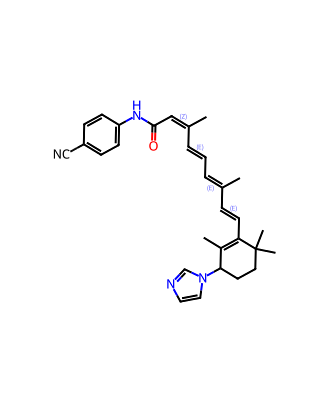 CC1=C(/C=C/C(C)=C/C=C/C(C)=C\C(=O)Nc2ccc(C#N)cc2)C(C)(C)CCC1n1ccnc1